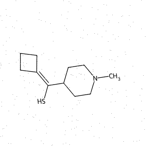 CN1CCC(C(S)=C2CCC2)CC1